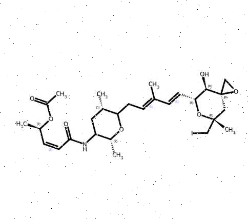 CC(=O)O[C@H](C)/C=C\C(=O)NC1C[C@H](C)C(C/C=C(C)/C=C/[C@H]2O[C@@](C)(CI)C[C@@]3(CO3)[C@@H]2O)O[C@@H]1C